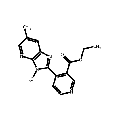 CCOC(=O)c1cnccc1-c1nc2cc(C)cnc2n1C